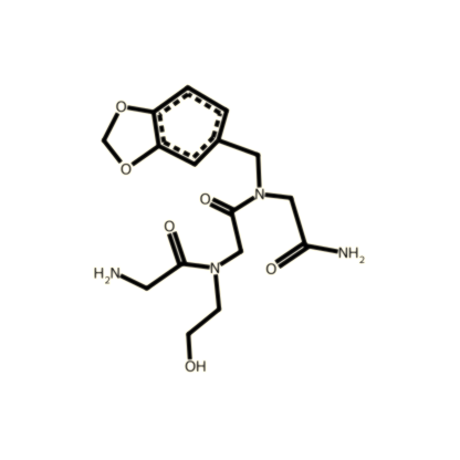 NCC(=O)N(CCO)CC(=O)N(CC(N)=O)Cc1ccc2c(c1)OCO2